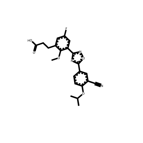 COc1c(CCC(=O)O)cc(F)cc1-c1noc(-c2ccc(OC(C)C)c(C#N)c2)n1